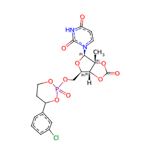 C[C@@]12OC(=O)O[C@@H]1[C@@H](COP1(=O)OCCC(c3cccc(Cl)c3)O1)O[C@H]2n1ccc(=O)[nH]c1=O